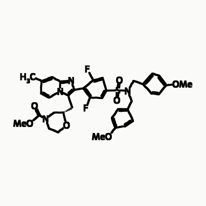 COC(=O)N1CCO[C@@H](Cc2c(-c3c(F)cc(S(=O)(=O)N(Cc4ccc(OC)cc4)Cc4ccc(OC)cc4)cc3F)nc3cc(C)ccn23)C1